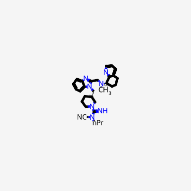 CCCN(C#N)C(=N)N1CCC[C@H](Cn2c(CN(C)[C@H]3CCCc4cccnc43)nc3ccccc32)C1